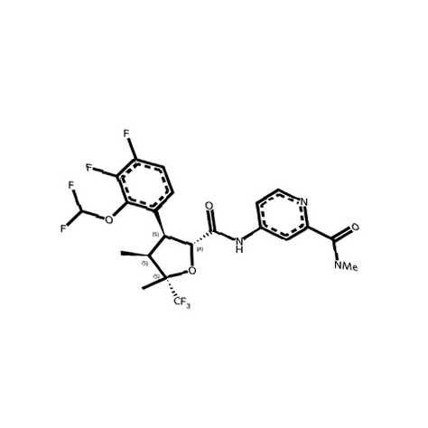 CNC(=O)c1cc(NC(=O)[C@@H]2O[C@](C)(C(F)(F)F)[C@@H](C)[C@H]2c2ccc(F)c(F)c2OC(F)F)ccn1